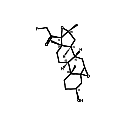 C[C@@]12C[C@H]3[C@@H]4CC5OC56C[C@@H](O)CC[C@]6(C)[C@H]4CC[C@]3(C)[C@]1(C(=O)CF)O2